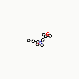 c1ccc(-c2ccc(-c3ccc(N(c4ccc(-c5cc6c7ccccc7oc6c6ccccc56)cc4)c4ccccc4-c4ccccc4)cc3)cc2)cc1